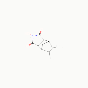 CC1C(C)C2CC1C1C(=O)N(O)C(=O)C21